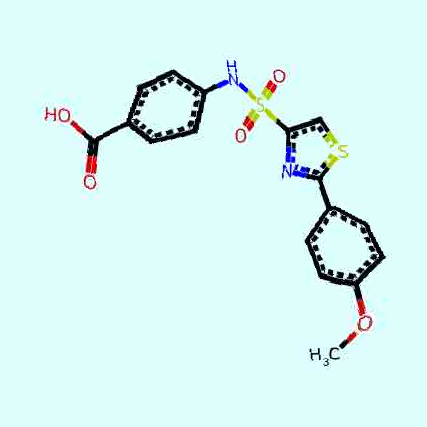 COc1ccc(-c2nc(S(=O)(=O)Nc3ccc(C(=O)O)cc3)cs2)cc1